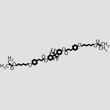 C=C(C)C(=O)OCCCCCCOc1ccc(CCC(=O)Oc2ccc(C(c3ccc(OC(=O)CCc4ccc(OCCCCCCOC(=O)C(=C)C)cc4)cc3)(C(F)(F)F)C(F)(F)F)cc2)cc1